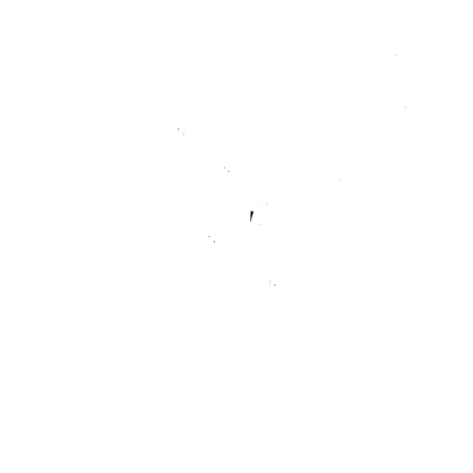 CCCC[C@H]1CN(C(=O)c2cccc3ccccc23)CCN1C(Cc1ccc(F)cc1)c1cnc[nH]1.O=C(O)C(F)(F)F.O=C(O)C(F)(F)F